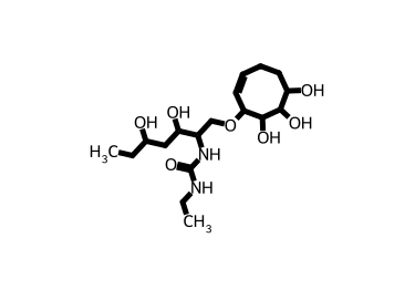 CCNC(=O)NC(COC1/C=C\CCC(O)C(O)C1O)C(O)CC(O)CC